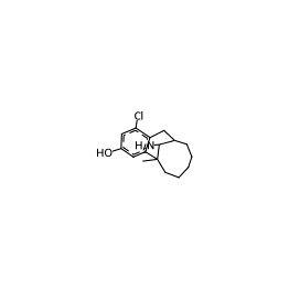 CC12CCCCCC(Cc3c(Cl)cc(O)cc31)C2N